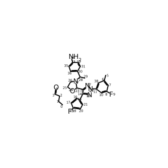 CCCC=O.Cc1cc(F)cc(-n2nc(-c3ccc(F)cc3)c(C3OCCN3C(C)c3ccc(N)cc3)n2)c1